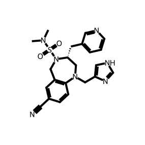 CN(C)S(=O)(=O)N1Cc2cc(C#N)ccc2N(Cc2c[nH]cn2)C[C@H]1Cc1cccnc1